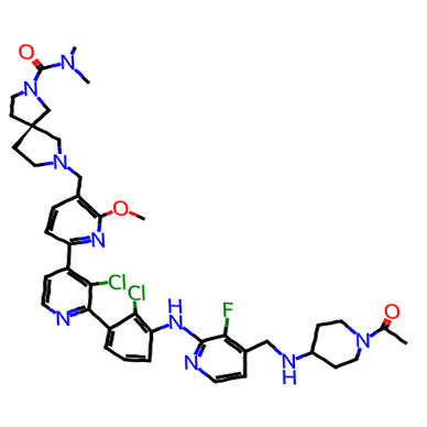 COc1nc(-c2ccnc(-c3cccc(Nc4nccc(CNC5CCN(C(C)=O)CC5)c4F)c3Cl)c2Cl)ccc1CN1CC[C@]2(CCN(C(=O)N(C)C)C2)C1